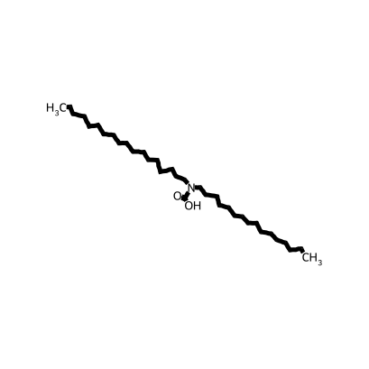 CCCCCCCCCCCCCCCCCCN(CCCCCCCCCCCCCCCC)C(=O)O